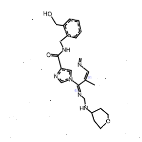 C=N/C=C(C)\C(=N/CNC1CCOCC1)n1cnc(C(=O)NCc2ccccc2CO)c1